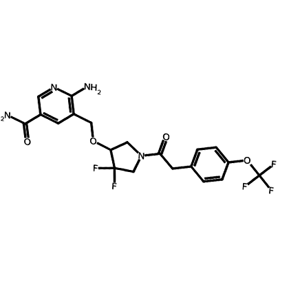 NC(=O)c1cnc(N)c(COC2CN(C(=O)Cc3ccc(OC(F)(F)F)cc3)CC2(F)F)c1